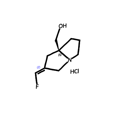 Cl.OC[C@@]12CCCN1C/C(=C\F)C2